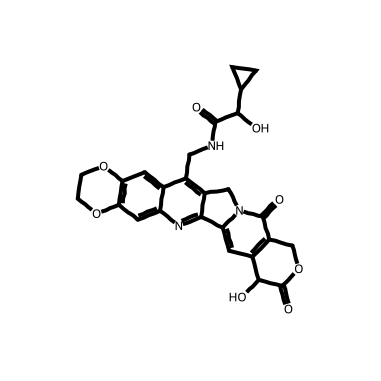 O=C1OCc2c(cc3n(c2=O)Cc2c-3nc3cc4c(cc3c2CNC(=O)C(O)C2CC2)OCCO4)C1O